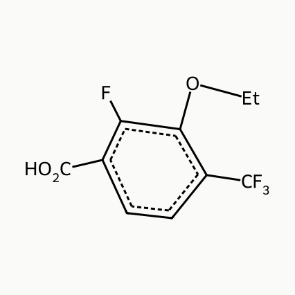 CCOc1c(C(F)(F)F)ccc(C(=O)O)c1F